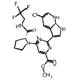 COC(=O)c1cc(N2CCC[C@@H]2C(=O)NCC(F)(F)F)nc(C2=CNC3NC=C(Cl)C=C23)n1